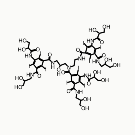 O=C(NCCN(CC(O)CNC(=O)c1c(I)c(NC(=O)C(O)CO)c(I)c(C(=O)NCC(O)CO)c1I)C(=O)c1c(I)c(NC(=O)C(O)CO)c(I)c(C(=O)NCC(O)CO)c1I)c1c(I)c(NC(=O)C(O)CO)c(I)c(C(=O)NCC(O)CO)c1I